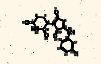 O=C1CCC(N2C(=O)C=C(Nc3cccc(I)c3)C2=O)C(=O)N1